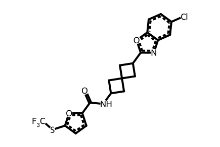 O=C(NC1CC2(C1)CC(c1nc3cc(Cl)ccc3o1)C2)c1ccc(SC(F)(F)F)o1